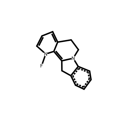 FN1C=CC=C2CCN3C(=C21)Cc1ccccc13